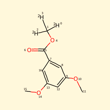 [2H]C([2H])([2H])OC(=O)c1cc(OC)cc(OC)c1